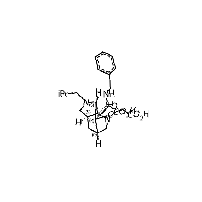 CC(C)CN1C[C@@H]2C[C@H]3CN(C(=O)O)[C@]2(C(=O)NCc2ccccc2)[C@@H]1[C@@H]3CCC(=O)O